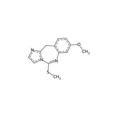 COc1ccc2c(c1)N=C(SC)n1ccnc1C2